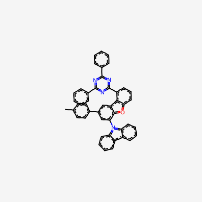 Cc1ccc(-c2cc(-n3c4ccccc4c4ccccc43)c3oc4cccc(-c5nc(-c6ccccc6)nc(-c6ccccc6)n5)c4c3c2)cc1